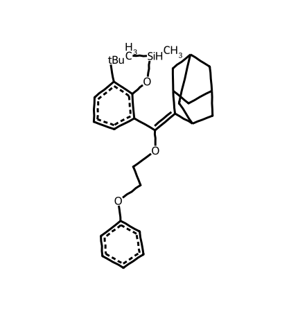 C[SiH](C)Oc1c(C(OCCOc2ccccc2)=C2C3CC4CC(C3)CC2C4)cccc1C(C)(C)C